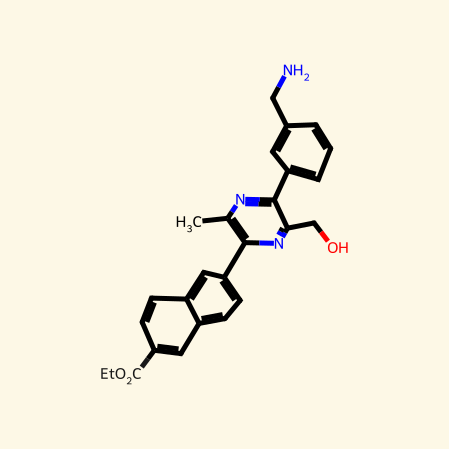 CCOC(=O)c1ccc2cc(-c3nc(CO)c(-c4cccc(CN)c4)nc3C)ccc2c1